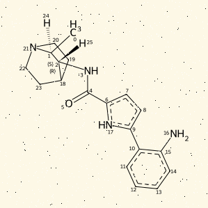 C[C@H]1[C@H](NC(=O)c2ccc(-c3ccccc3N)[nH]2)C2CCN1CC2